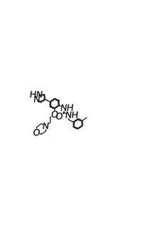 Cc1cccc(CNC(=O)Nc2ccc(-c3cn[nH]c3)cc2OCCN2CCOCC2)c1